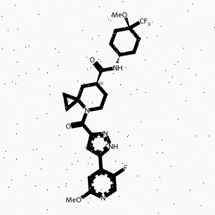 COc1cc(-c2cc(C(=O)N3CC[C@H](C(=O)N[C@H]4CC[C@@](OC)(C(F)(F)F)CC4)CC34CC4)n[nH]2)c(F)cn1